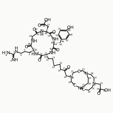 N=C(N)NCCC[C@@H]1NC(=O)[C@H](CCCCCC(=O)CN2CCCN3CCCN(CCCN(CC(=O)O)CC3)CC2)NC(=O)[C@@H](Cc2ccc(O)cc2)NC(=O)[C@H](CC(=O)O)NC(=O)CNC1=O